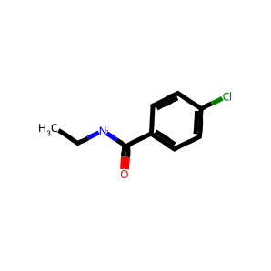 CC[N]C(=O)c1ccc(Cl)cc1